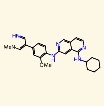 CN/C=C(\C=N)c1ccc(Nc2cc3c(NC4CCCCC4)nccc3cn2)c(OC)c1